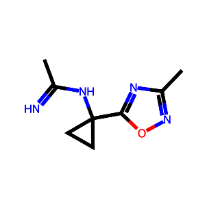 CC(=N)NC1(c2nc(C)no2)CC1